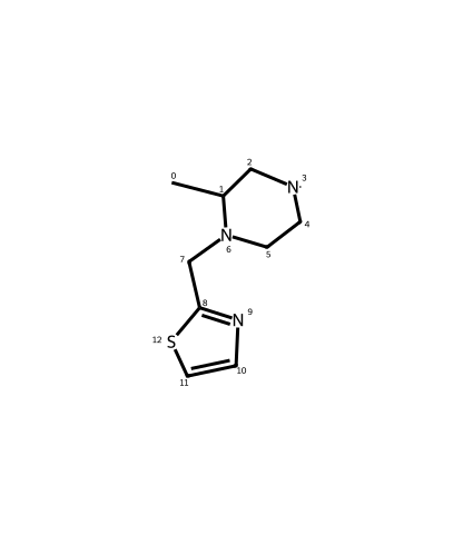 CC1C[N]CCN1Cc1nccs1